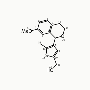 COc1ccc2c(c1)C(c1cc(CO)sc1C)OCC2